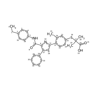 CCc1ccc(NC(=O)c2nc(-c3ccc(SC(C)(C)C(=O)O)cc3C)sc2-c2ccccc2)cc1